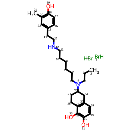 Br.Br.CCCN(CCCCCCNCCc1ccc(O)c(C)c1)C1CCc2c(ccc(O)c2O)C1